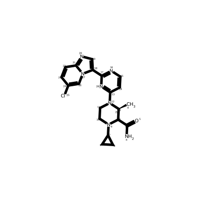 C[C@H]1C(C(N)=O)N(C2CC2)CCN1c1ccnc(-c2cnc3ccc(Cl)cn23)n1